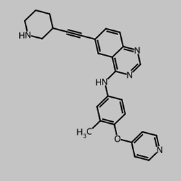 Cc1cc(Nc2ncnc3ccc(C#CC4CCCNC4)cc23)ccc1Oc1ccncc1